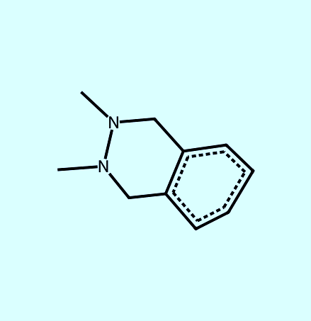 CN1Cc2ccccc2CN1C